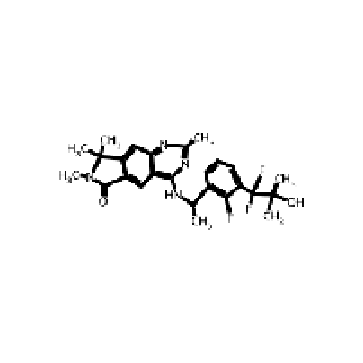 Cc1nc(N[C@H](C)c2cccc(C(F)(F)C(C)(C)O)c2F)c2cc3c(cc2n1)C(C)(C)N(C)C3=O